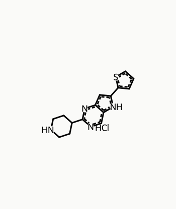 Cl.c1csc(-c2cc3nc(C4CCNCC4)ncc3[nH]2)c1